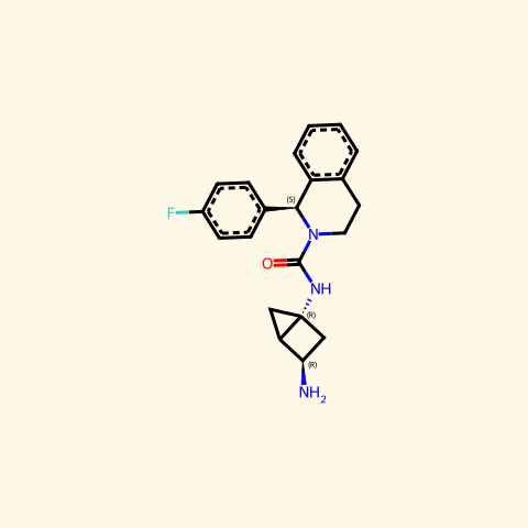 N[C@@H]1C[C@]2(NC(=O)N3CCc4ccccc4[C@@H]3c3ccc(F)cc3)CC12